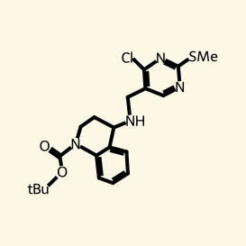 CSc1ncc(CNC2CCN(C(=O)OC(C)(C)C)c3ccccc32)c(Cl)n1